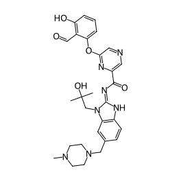 CN1CCN(Cc2ccc3[nH]/c(=N\C(=O)c4cncc(Oc5cccc(O)c5C=O)n4)n(CC(C)(C)O)c3c2)CC1